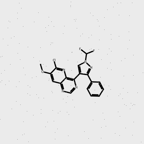 COc1cc2ncnc(-c3cn(C(F)F)nc3-c3ccccc3)c2nc1Cl